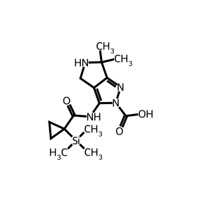 CC1(C)NCc2c1nn(C(=O)O)c2NC(=O)C1([Si](C)(C)C)CC1